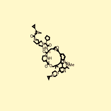 CCn1c(-c2cc(N3CCN(C4CC4)CC3)cnc2[C@H](C)OC)c2c3cc(ccc31)-c1nc(co1)C[C@H](NC(=O)[C@H](C1CCCC1)N1CC[C@]3(CCN(C(=O)[C@H]4[C@@H](C5CC5)N4C)C3)C1)C(=O)N1CCC[C@H](N1)C(=O)OCC(C)(C)C2